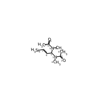 CC(=O)N(C)C(C=C[SiH3])N(C)C(C)=O